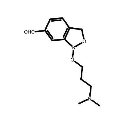 CN(C)CCCOB1OCc2ccc(C=O)cc21